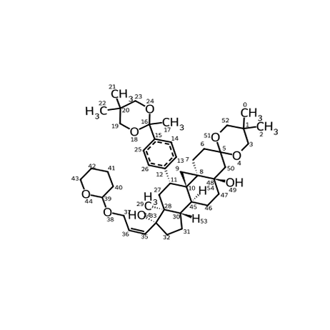 CC1(C)COC2(CC[C@@]34C[C@@]35[C@@H](c3ccc(C6(C)OCC(C)(C)CO6)cc3)C[C@@]3(C)[C@@H](CC[C@@]3(O)/C=C\COC3CCCCO3)[C@@H]5CC[C@@]4(O)C2)OC1